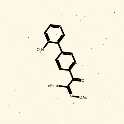 CCCCC/C(=N/OC(C)=O)C(=O)c1ccc(-c2ccccc2[N+](=O)[O-])cc1